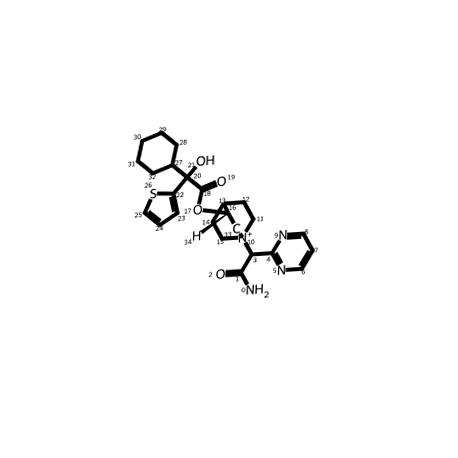 NC(=O)C(c1ncccn1)[N+]12CCC(CC1)[C@@H](OC(=O)C(O)(c1cccs1)C1CCCCC1)C2